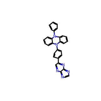 c1ccc(N2c3ccccc3N(c3ccc(-c4cnc5nccnc5n4)cc3)c3ccccc32)cc1